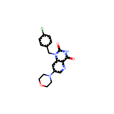 O=c1[nH]c(=O)n(Cc2ccc(Cl)cc2)c2cc(N3CCOCC3)cnc12